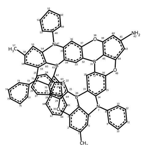 Cc1cc2c3c(c1)N(c1ccccc1)c1cc4c(cc1B3c1sc3ccccc3c1O2)B1c2cc3c(cc2Oc2cc(N)cc(c21)O4)N(c1ccccc1)c1cc(C)cc2c1B3c1sc3ccccc3c1N2c1ccccc1